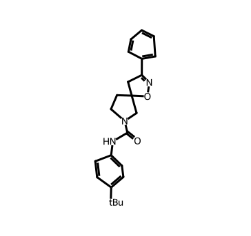 CC(C)(C)c1ccc(NC(=O)N2CCC3(CC(c4ccccc4)=NO3)C2)cc1